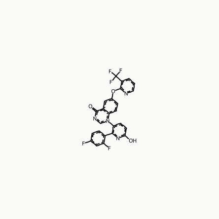 O=c1ncn(-c2ccc(O)nc2-c2ccc(F)cc2F)c2ccc(Oc3ncccc3C(F)(F)F)cc12